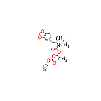 CC(OC(=O)OC1CSC1)OC(=O)N(C)C(C)Cc1ccc2c(c1)OCO2